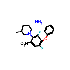 C[C@H]1CCCN(c2c([N+](=O)[O-])cc(F)c(Oc3ccccc3)c2F)C1.N